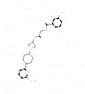 CNc1cccc(C2CCC(N3CC(NC(=O)CNC(=O)c4cccc(C)c4)C3)CC2)n1